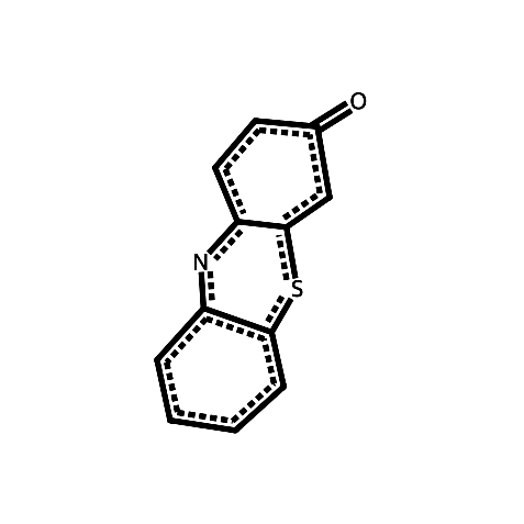 O=c1ccc2nc3ccccc3sc-2c1